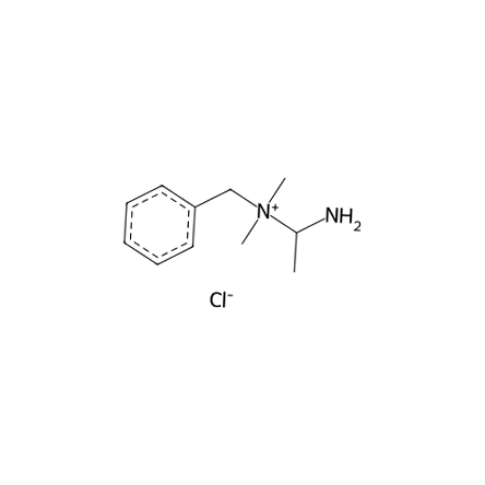 CC(N)[N+](C)(C)Cc1ccccc1.[Cl-]